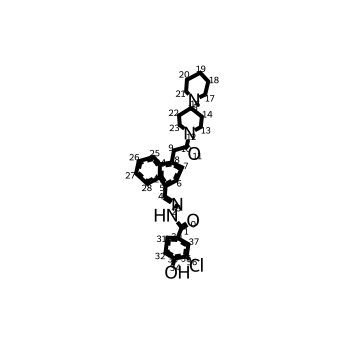 O=C(N/N=C/c1ccc(CC(=O)N2CCC(N3CCCCC3)CC2)c2ccccc12)c1ccc(O)c(Cl)c1